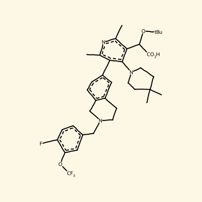 Cc1nc(C)c(C(OC(C)(C)C)C(=O)O)c(N2CCC(C)(C)CC2)c1-c1ccc2c(c1)CCN(Cc1ccc(F)c(OC(F)(F)F)c1)C2